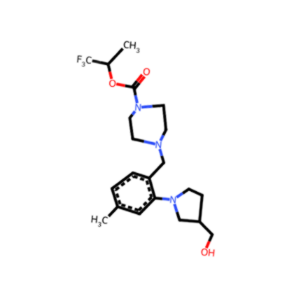 Cc1ccc(CN2CCN(C(=O)OC(C)C(F)(F)F)CC2)c(N2CCC(CO)C2)c1